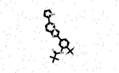 CC(C)(C)C(=O)Nc1cc(-c2cn3nc(-c4ccc[nH]4)ccc3n2)ccc1C(F)(F)F